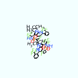 CC(C)(C)Cn1cc([C@H](NS(=O)(=O)C2CC2C(C)(C)Cn2cc([C@H](NS(=O)(=O)C3CCC3)C(F)(F)F)c3cc(F)c(-c4ccccc4C(F)(F)F)nc32)C(F)(F)F)c2cc(F)c(-c3ccccc3C(F)(F)F)nc21